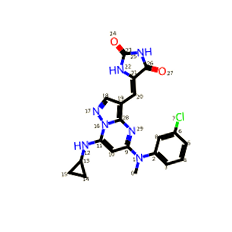 CN(c1cccc(Cl)c1)c1cc(NC2CC2)n2ncc(/C=C3\NC(=O)NC3=O)c2n1